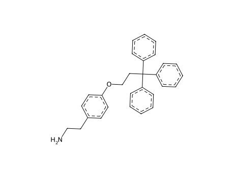 NCCc1ccc(OCCC(c2ccccc2)(c2ccccc2)c2ccccc2)cc1